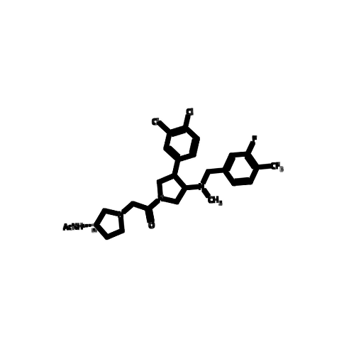 CC(=O)N[C@H]1CCN(CC(=O)N2CC(c3ccc(Cl)c(Cl)c3)C(N(C)Cc3ccc(C(F)(F)F)c(F)c3)C2)C1